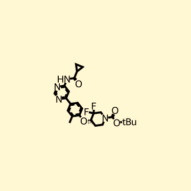 Cc1cc(-c2cc(NC(=O)C3CC3)ncn2)ccc1O[C@H]1CCN(C(=O)OC(C)(C)C)CC1(F)F